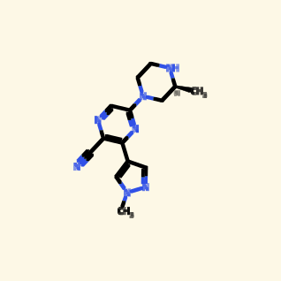 C[C@H]1CN(c2cnc(C#N)c(-c3cnn(C)c3)n2)CCN1